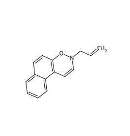 C=CCN1C=Cc2c(ccc3ccccc23)O1